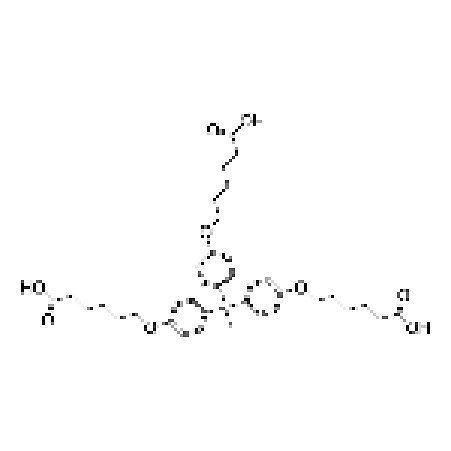 CC(c1ccc(OCCCCCC(=O)O)cc1)(c1ccc(OCCCCCC(=O)O)cc1)c1ccc(OCCCCCC(=O)O)cc1